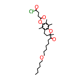 CCCCCCOCCCCCCC(=O)[C@]1(C)CCc2c(C)c(OC(=O)CCC(=O)Cl)c(C)c(C)c2O1